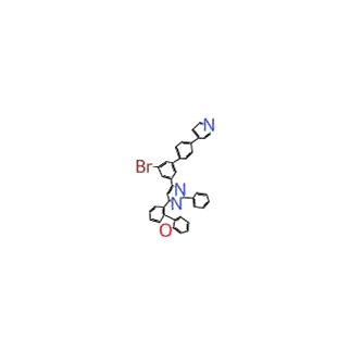 Brc1cc(-c2ccc(-c3ccncc3)cc2)cc(-c2cc(-c3cccc4oc5ccccc5c34)nc(-c3ccccc3)n2)c1